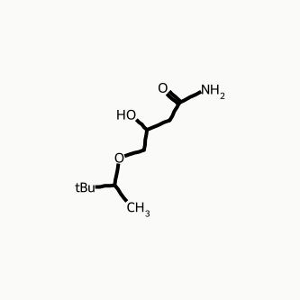 CC(OCC(O)CC(N)=O)C(C)(C)C